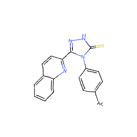 CC(=O)c1ccc(-n2c(-c3ccc4ccccc4n3)n[nH]c2=S)cc1